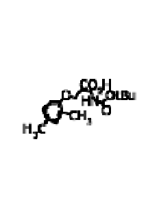 Cc1ccc(OCCC(NC(=O)OC(C)(C)C)C(=O)O)c(C)c1